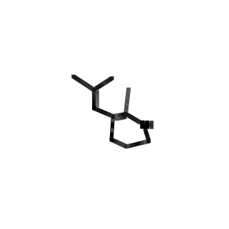 CC(C)=CC1=C(C)NCCC1